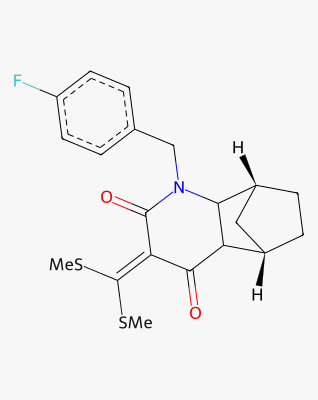 CSC(SC)=C1C(=O)C2C([C@@H]3CC[C@H]2C3)N(Cc2ccc(F)cc2)C1=O